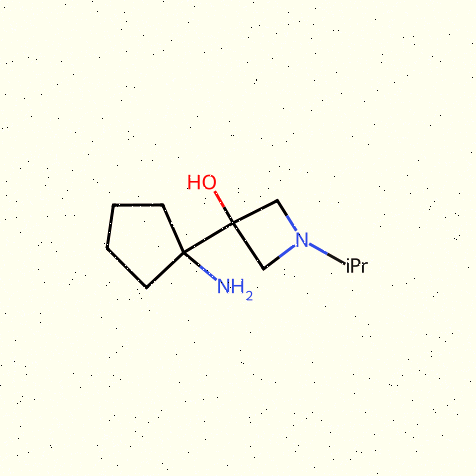 CC(C)N1CC(O)(C2(N)CCCC2)C1